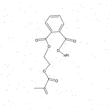 C=C(C)C(=O)OCCOC(=O)c1ccccc1C(=O)OCCC